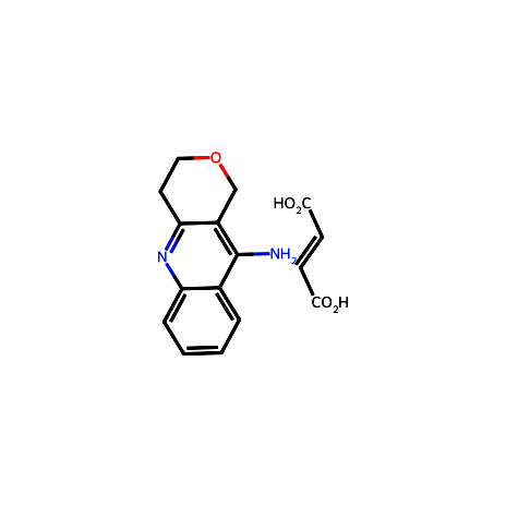 Nc1c2c(nc3ccccc13)CCOC2.O=C(O)/C=C/C(=O)O